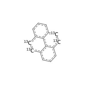 c1cc2[13cH][13cH]c3cccc4[13cH][13cH]c(c1)c2c34